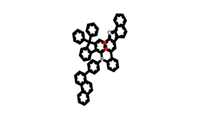 c1ccc(C2(c3ccccc3)c3ccccc3-c3c(N(c4ccc(-c5cccc6c5ccc5ccccc56)cc4)c4ccccc4-c4ccc5oc6c7ccccc7ccc6c5c4)cccc32)cc1